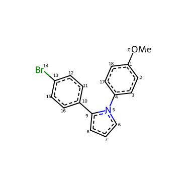 COc1ccc(-n2cccc2-c2ccc(Br)cc2)cc1